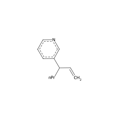 C=CC(CCC)c1cccnc1